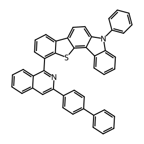 c1ccc(-c2ccc(-c3cc4ccccc4c(-c4cccc5c4sc4c5ccc5c4c4ccccc4n5-c4ccccc4)n3)cc2)cc1